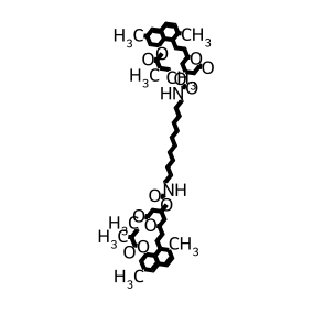 CCC(C)C(=O)OC1CC(C)C=C2C=CC(C)C(CCC3CC(OC(=O)NCCCCCCCCCCCCNC(=O)OC4CC(=O)OC(CCC5C(C)C=CC6=CC(C)CC(OC(=O)C(C)CC)C65)C4)CC(=O)O3)C21